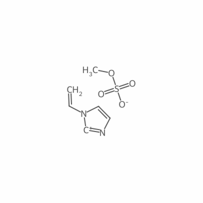 C=CN1[C+]=NC=C1.COS(=O)(=O)[O-]